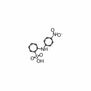 O=[N+]([O-])c1ccc(Nc2ccccc2S(=O)(=O)O)cc1